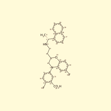 C[C@@H](NCCC1CN(c2ccc(F)c(C(=O)O)c2)c2cc(F)ccc2O1)c1cccc2ccccc12